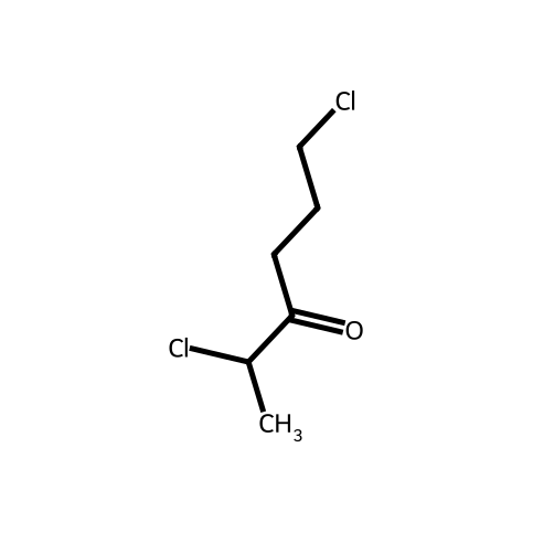 CC(Cl)C(=O)CCCCl